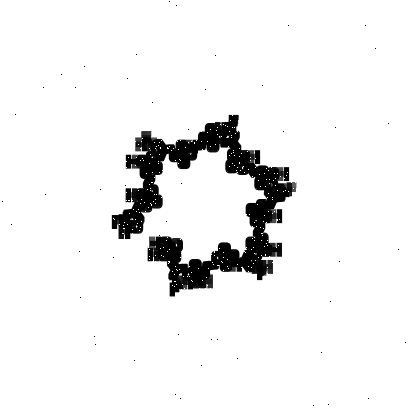 O=P(O)(O)OCC(CNF)COP(=O)(O)OCCOP(=O)(O)OCC(CNF)COP(=O)(O)OCCOP(=O)(O)OCC(CNF)COP(=O)(O)OCCOP(=O)(O)OCC(CNF)COP(=O)(O)OCCOP(=O)(O)OCC(CNF)COP(=O)(O)OCCOP(=O)(O)OCC(CO)CNF